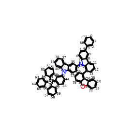 c1ccc(-c2ccc3c(c2)c2cccc(-c4cccc5oc6ccccc6c45)c2n3-c2ccc3c(c2)c2ccccc2n3-c2cccc([Si](c3ccccc3)(c3ccccc3)c3ccccc3)c2)cc1